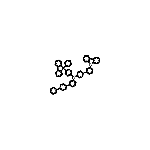 c1ccc(-c2ccc(-c3cccc(N(c4ccc(-c5cccc(-n6c7ccccc7c7ccccc76)c5)cc4)c4ccc(C5(c6ccccc6)c6ccccc6-c6ccccc65)cc4)c3)cc2)cc1